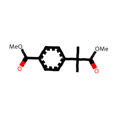 COC(=O)c1ccc(C(C)(C)C(=O)OC)cc1